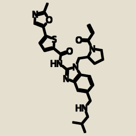 C=CC(=O)N1CCCC1Cn1c(NC(=O)c2ccc(-c3cnc(C)o3)s2)nc2cc(CNCC(C)C)ccc21